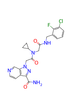 NC(=O)c1nn(CC(=O)N(CC(=O)NCc2cccc(Cl)c2F)C2CC2)c2cnccc12